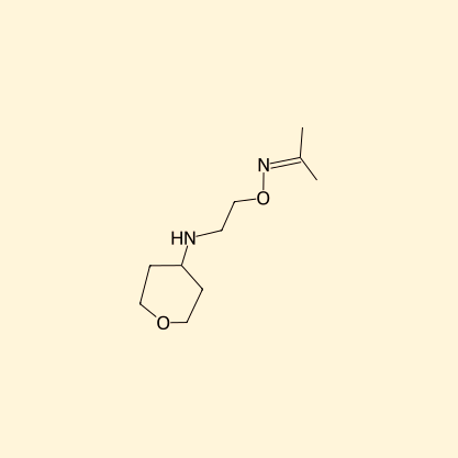 CC(C)=NOCCNC1CCOCC1